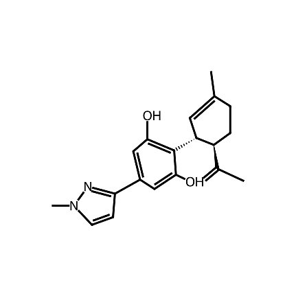 C=C(C)[C@@H]1CCC(C)=C[C@H]1c1c(O)cc(-c2ccn(C)n2)cc1O